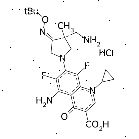 CC(C)(C)O/N=C1/CN(c2c(F)c(N)c3c(=O)c(C(=O)O)cn(C4CC4)c3c2F)CC1(C)CN.Cl